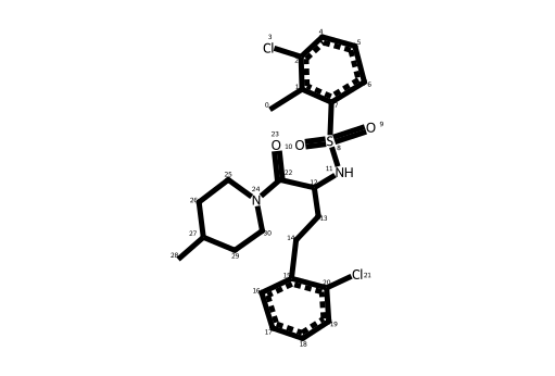 Cc1c(Cl)cccc1S(=O)(=O)NC(CCc1ccccc1Cl)C(=O)N1CCC(C)CC1